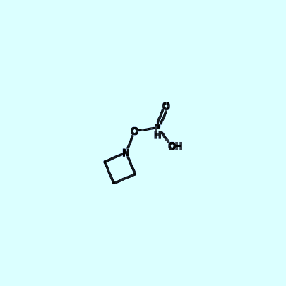 O=[PH](O)ON1CCC1